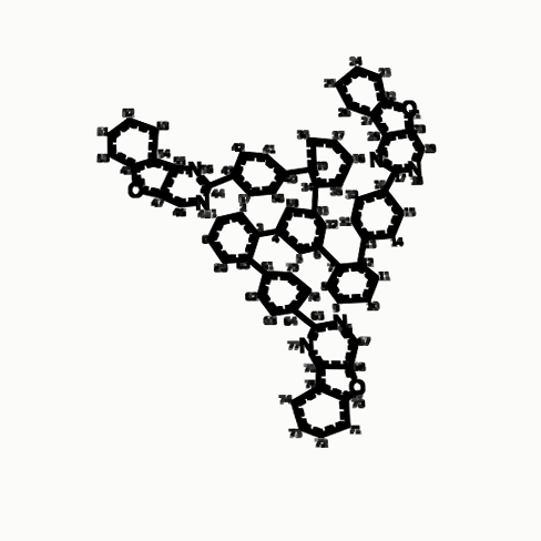 c1ccc(-c2cc(-c3ccccc3-c3ccc(-c4ncc5oc6ccccc6c5n4)cc3)cc(-c3ccccc3-c3ccc(-c4ncc5oc6ccccc6c5n4)cc3)c2)c(-c2ccc(-c3ncc4oc5ccccc5c4n3)cc2)c1